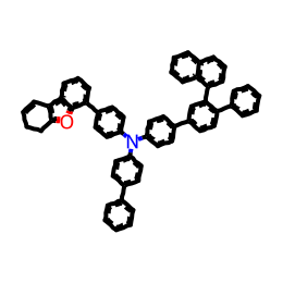 C1=Cc2c(oc3c(-c4ccc(N(c5ccc(-c6ccccc6)cc5)c5ccc(-c6ccc(-c7ccccc7)c(-c7cccc8ccccc78)c6)cc5)cc4)cccc23)CC1